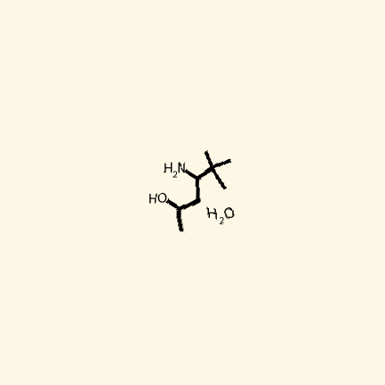 CC(O)CC(N)C(C)(C)C.O